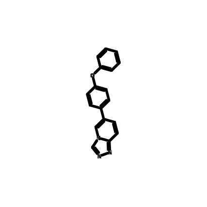 c1ccc(Oc2ccc(-c3ccc4nncn4c3)cc2)cc1